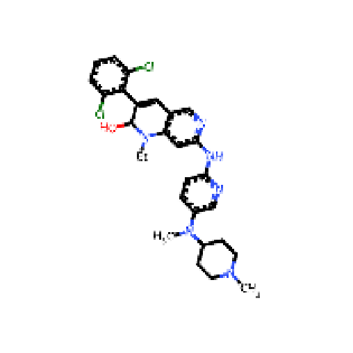 CCN1c2cc(Nc3ccc(N(C)C4CCN(C)CC4)cn3)ncc2C=C(c2c(Cl)cccc2Cl)C1O